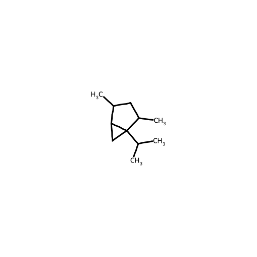 CC1CC(C)C2(C(C)C)CC12